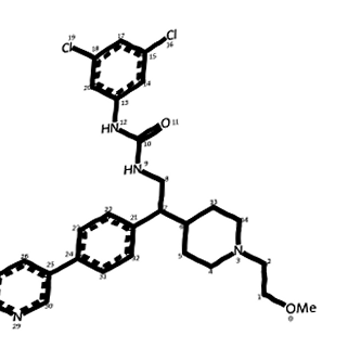 COCCN1CCC(C(CNC(=O)Nc2cc(Cl)cc(Cl)c2)c2ccc(-c3cccnc3)cc2)CC1